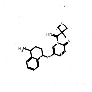 CC1(C(=N)n2cc(OC3CCC(N)c4ccccc43)ccc2=N)COC1